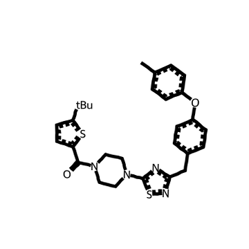 Cc1ccc(Oc2ccc(Cc3nsc(N4CCN(C(=O)c5ccc(C(C)(C)C)s5)CC4)n3)cc2)cc1